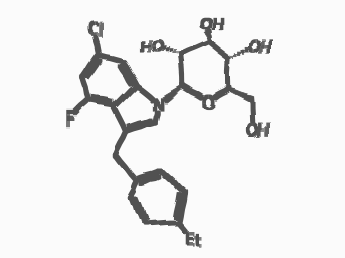 CCc1ccc(Cc2cn([C@@H]3O[C@H](CO)[C@@H](O)[C@H](O)[C@H]3O)c3cc(Cl)cc(F)c23)cc1